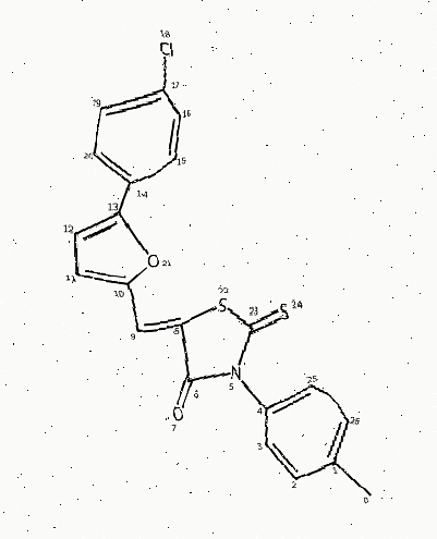 Cc1ccc(N2C(=O)/C(=C/c3ccc(-c4ccc(Cl)cc4)o3)SC2=S)cc1